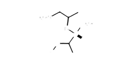 CNCC(C)NP(=O)(OC)C(C)SS